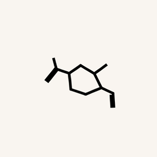 C=CC1CCC(C(=C)C)CC1C